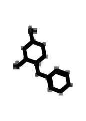 CCC1CC(O)CCN1CC1=C[C][C]C=C1